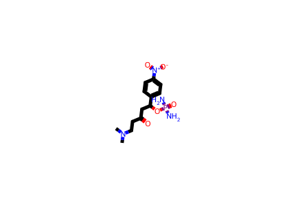 CN(C)CCC(=O)CC(OP(N)(N)=O)c1ccc([N+](=O)[O-])cc1